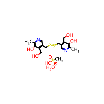 CS(=O)(=O)O.Cc1ncc(CSSCc2cnc(C)c(O)c2CO)c(CO)c1O.O